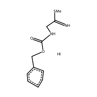 CSC(=N)CNC(=O)OCc1ccccc1.I